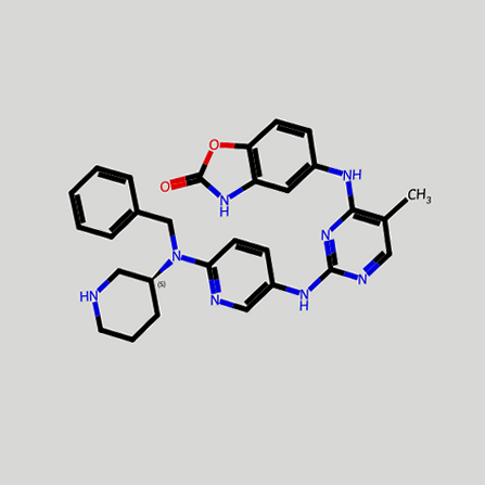 Cc1cnc(Nc2ccc(N(Cc3ccccc3)[C@H]3CCCNC3)nc2)nc1Nc1ccc2oc(=O)[nH]c2c1